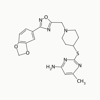 Cc1cc(N)nc(SC2CCN(Cc3nc(-c4ccc5c(c4)OCO5)no3)CC2)n1